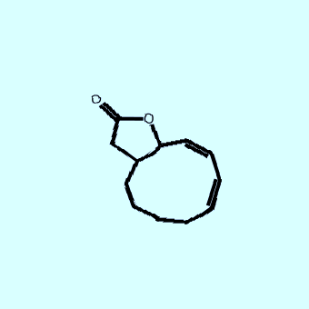 O=C1CC2CCCCC=CC=CC2O1